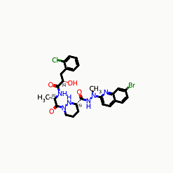 C[C@H](NC(=O)[C@@H](O)Cc1ccccc1Cl)C(=O)N1CCC[C@@H](C(=O)NN(C)c2ccc3ccc(Br)cc3n2)N1